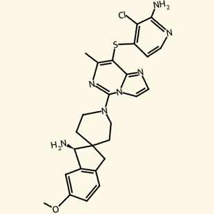 COc1ccc2c(c1)[C@@H](N)C1(CCN(c3nc(C)c(Sc4ccnc(N)c4Cl)c4nccn34)CC1)C2